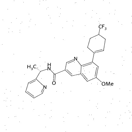 COc1cc(C2=CCC(C(F)(F)F)CC2)c2ncc(C(=O)N[C@@H](C)c3ccccn3)cc2c1